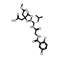 COC(=O)CC1(CC(=O)O)OB([C@H](CC(C)C)NC(=O)CNC(=O)c2cc(Cl)ccc2Cl)OC1=O